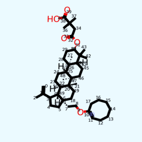 C=C(C)C1CC[C@]2(CCO/C3=C/CCCCCC3)CC[C@]3(C)[C@H](CC[C@@H]4[C@@]5(C)CC[C@H](OC(=O)CC(C)(C)C(=O)O)C(C)(C)[C@@H]5CC[C@]43C)[C@@H]12